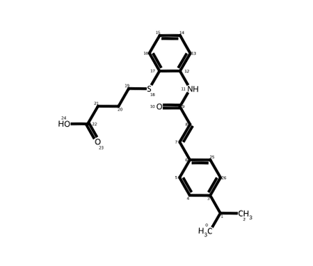 CC(C)c1ccc(/C=C/C(=O)Nc2ccccc2SCCCC(=O)O)cc1